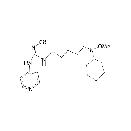 CON(CCCCCN/C(=N\C#N)Nc1ccncc1)C1CCCCC1